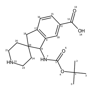 CC(C)(C)OC(=O)NC1c2cc(C(=O)O)ccc2CC12CCNCC2